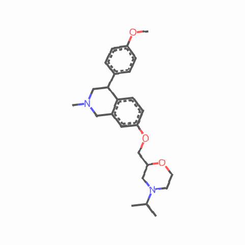 COc1ccc(C2CN(C)Cc3cc(OCC4CN(C(C)C)CCO4)ccc32)cc1